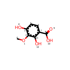 COc1c(O)ccc(C(=O)O)c1O